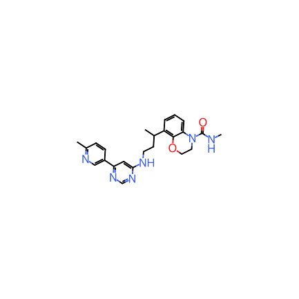 CNC(=O)N1CCOc2c(C(C)CCNc3cc(-c4ccc(C)nc4)ncn3)cccc21